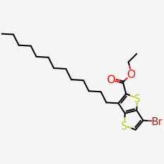 CCCCCCCCCCCCCc1c(C(=O)OCC)sc2c(Br)csc12